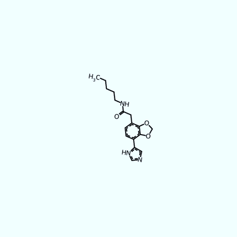 CCCCCNC(=O)Cc1ccc(-c2cnc[nH]2)c2c1OCO2